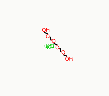 Cl.Cl.OCCOCCOCCOCCOCCO